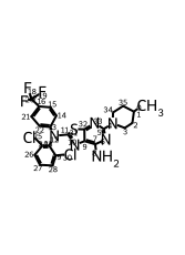 CC1CCN(c2nc(N)c3nc(N(c4ccc(C(F)(F)F)cc4)c4c(Cl)cccc4Cl)sc3n2)CC1